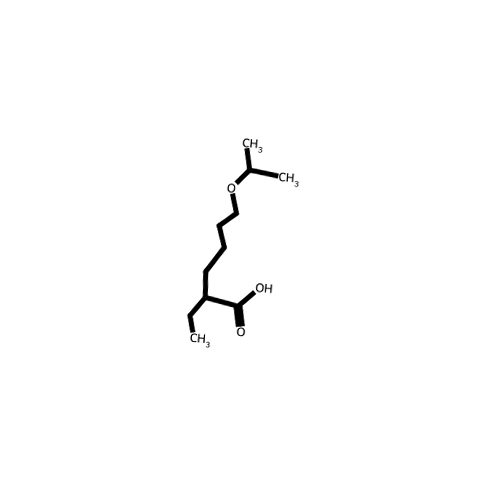 CCC(CCCCOC(C)C)C(=O)O